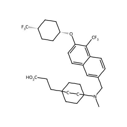 CN(Cc1ccc2c(C(F)(F)F)c(O[C@H]3CC[C@@H](C(F)(F)F)CC3)ccc2c1)C12CCC(CCC(=O)O)(CC1)CC2